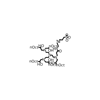 CCCCCCCCC(O)CN(CCC(=O)NCC[N+](C)(C)CCCS(=O)(=O)[O-])CCN(CCN(CC(O)CCCCCCCC)CC(O)CCCCCCCC)CCN(CC(O)CCCCCCCC)CC(O)CCCCCCCC